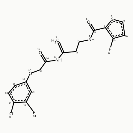 C=C(CCNC(=O)c1sccc1F)NC(=O)COc1ccc(Cl)c(F)c1